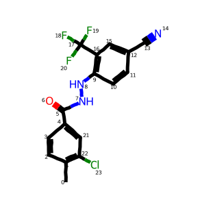 Cc1ccc(C(=O)NNc2ccc(C#N)cc2C(F)(F)F)cc1Cl